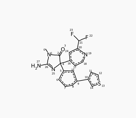 CN1C(=O)C(c2cccc(-c3ccsc3)c2)(c2ccnc(C(F)F)c2)N=C1N